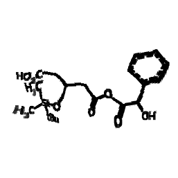 CC(C)(C)[Si](C)(C)OC(CC(=O)O)CC(=O)OC(=O)C(O)c1ccccc1